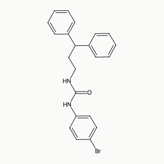 O=C(NCCC(c1ccccc1)c1ccccc1)Nc1ccc(Br)cc1